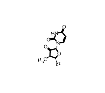 CC[C@H]1O[C@@H](n2ccc(=O)[nH]c2=O)C(=O)[C@@H]1C